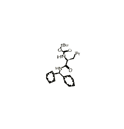 CC(C)C[C@H](NC(=O)OC(C)(C)C)C(=O)NC(c1ccccc1)c1ccccc1